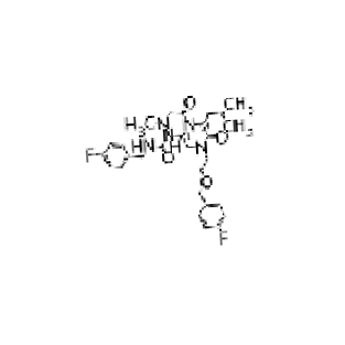 CC(C)C[C@H]1C(=O)N(CCOCc2ccc(F)cc2)C[C@H]2N1C(=O)CN(C)N2C(=O)NCc1ccc(F)cc1